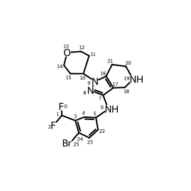 FC(F)c1cc(Nc2nn(C3CCOCC3)c3c2CNCC3)ccc1Br